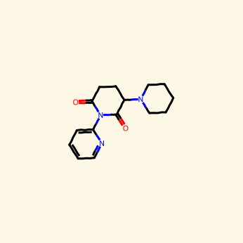 O=C1CCC(N2CCCCC2)C(=O)N1c1ccccn1